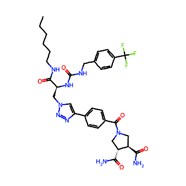 CCCCCCNC(=O)[C@H](Cn1cc(-c2ccc(C(=O)N3C[C@@H](C(N)=O)[C@H](C(N)=O)C3)cc2)nn1)NC(=O)NCc1ccc(C(F)(F)F)cc1